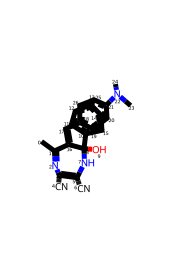 CC1=NC(C#N)=C(C#N)NC(O)(c2ccccc2)/C1=C\c1ccc(N(C)C)cc1